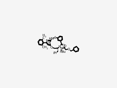 CCCCN(C(=O)COCc1ccccc1)N1C(=O)c2cccc(c2)SNc2nc(cc(-c3c(C)cccc3C)n2)OC[C@H]1CC(C)C